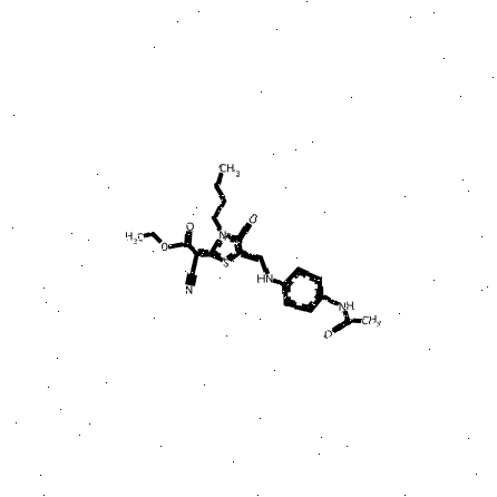 CCCCn1c(=C(C#N)C(=O)OCC)sc(=CNc2ccc(NC(C)=O)cc2)c1=O